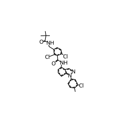 Cc1ccc(-n2ncc3c(NC(=O)c4c(Cl)ccc(CNC(=O)C(C)(C)C)c4Cl)cccc32)cc1Cl